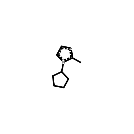 Cc1nccn1C1CCCC1